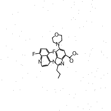 CCCc1nc2c(C(=O)OC)cc(N3CCOCC3)cc2n1-c1ccnc2c(F)ccc(F)c12